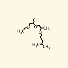 CCOCC(C)OCC(C)OCCCC(C)C